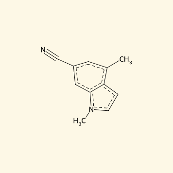 Cc1cc(C#N)cc2c1ccn2C